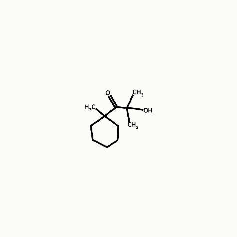 CC(C)(O)C(=O)C1(C)CCCCC1